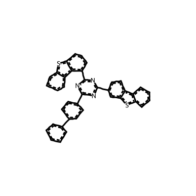 c1ccc(-c2ccc(-c3nc(-c4ccc5c(c4)sc4ccccc45)nc(-c4cccc5sc6ccccc6c45)n3)cc2)cc1